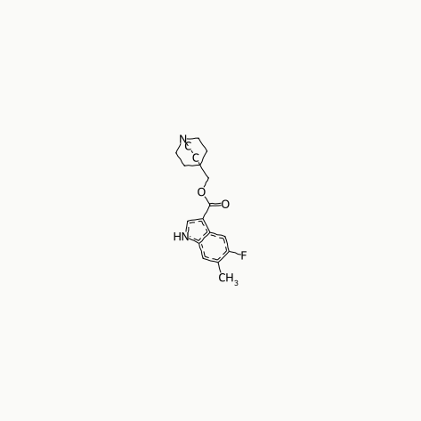 Cc1cc2[nH]cc(C(=O)OCC34CCN(CC3)CC4)c2cc1F